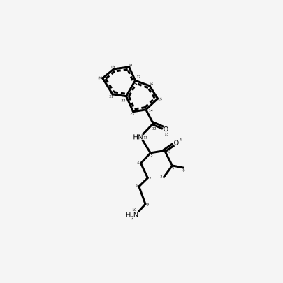 CC(C)C(=O)C(CCCCN)NC(=O)c1ccc2ccccc2c1